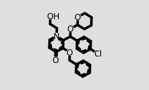 O=c1ccn(CCO)c(C(OC2CCCCO2)c2ccc(Cl)cc2)c1OCc1ccccc1